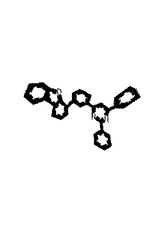 c1ccc(-c2cc(-c3cccc(-c4cccc5c4oc4ccccc45)c3)nc(-c3ccccc3)n2)cc1